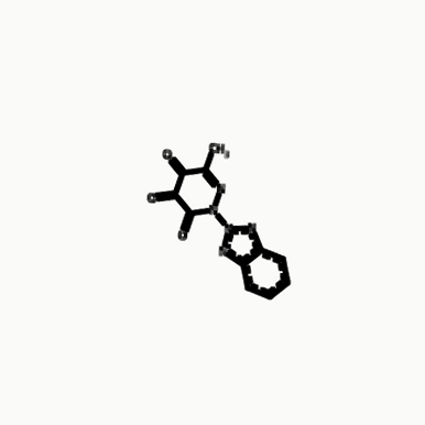 CC1=NN(n2nc3ccccc3n2)C(=O)C(=O)C1=O